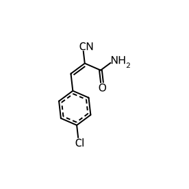 N#CC(=Cc1ccc(Cl)cc1)C(N)=O